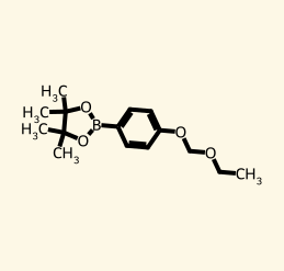 CCOCOc1ccc(B2OC(C)(C)C(C)(C)O2)cc1